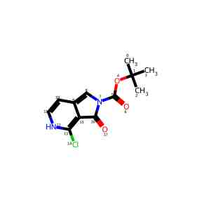 CC(C)(C)OC(=O)n1cc2cc[nH]c(Cl)c-2c1=O